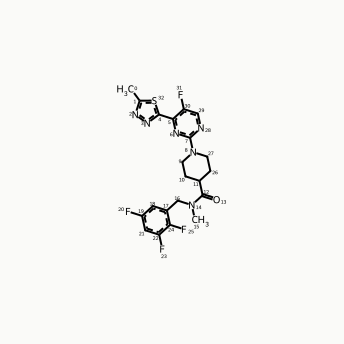 Cc1nnc(-c2nc(N3CCC(C(=O)N(C)Cc4cc(F)cc(F)c4F)CC3)ncc2F)s1